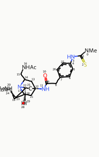 CNC(=S)Nc1ccc(CC(=O)N[C@@]23CC(CNC(C)=O)N([C@H](CNC(C)=O)C2)[C@@H](CNC(C)=O)C3)cc1